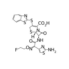 Nc1nc(/C(=N/OCCF)C(=O)N[C@@H]2C(=O)N3C(C(=O)O)=C(Sc4nc5ccccc5s4)CS[C@@H]23)cs1